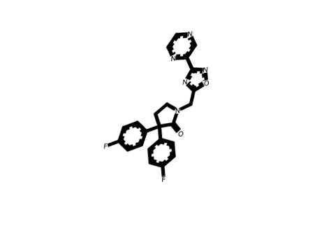 O=C1N(Cc2nc(-c3cnccn3)no2)CCC1(c1ccc(F)cc1)c1ccc(F)cc1